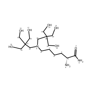 NC(=O)[C@H](N)CCCCN(CC(CO)(CO)CO)CC(CO)(CO)CO